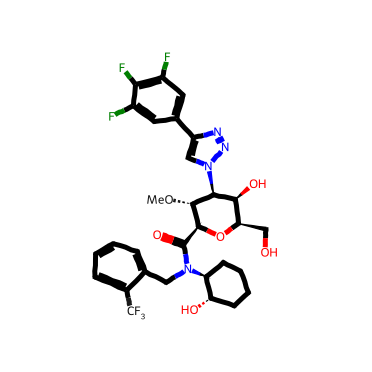 CO[C@@H]1[C@@H](n2cc(-c3cc(F)c(F)c(F)c3)nn2)[C@@H](O)[C@@H](CO)O[C@H]1C(=O)N(Cc1ccccc1C(F)(F)F)[C@H]1CCCC[C@@H]1O